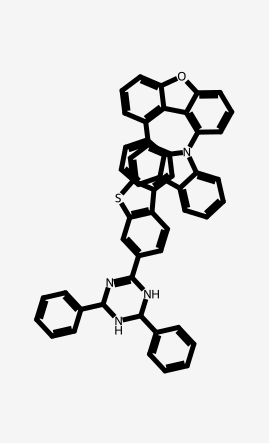 C1=CC2c3ccccc3N(c3cccc4oc5cccc(-c6ccc7c(c6)sc6cc(C8=NC(c9ccccc9)NC(c9ccccc9)N8)ccc67)c5c34)C2C=C1